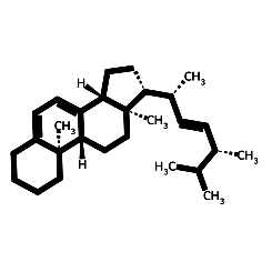 CC(C)[C@@H](C)/C=C/[C@@H](C)[C@H]1CC[C@H]2C3=CC=C4CCCC[C@]4(C)[C@H]3CC[C@]12C